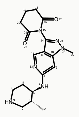 C[C@@H]1CNCC[C@H]1Nc1cc2c(cn1)c(N1C(=O)CCCC1=O)nn2C